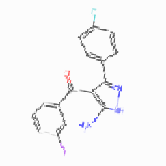 Nc1[nH]nc(-c2ccc(F)cc2)c1C(=O)c1cccc(I)c1